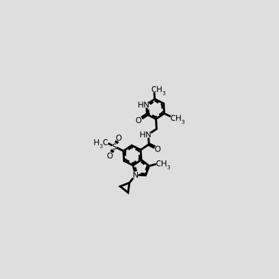 Cc1cc(C)c(CNC(=O)c2cc(S(C)(=O)=O)cc3c2c(C)cn3C2CC2)c(=O)[nH]1